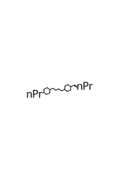 CCCC=CC1CCC(CCCCC2CCC(CCC)CC2)CC1